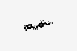 CCC(F)(F)CCc1ccc(-c2nnc(-c3ccc4ncn(C)c4c3)o2)cc1C#N